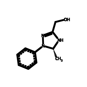 C[C@H]1NC(CO)=NN1c1ccccc1